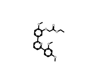 CCOC(=O)COc1cc(-c2cccc(-c3ccc(OC)cc3OC)n2)ccc1OC